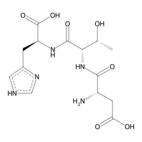 C[C@@H](O)[C@H](NC(=O)[C@@H](N)CC(=O)O)C(=O)N[C@@H](Cc1c[nH]cn1)C(=O)O